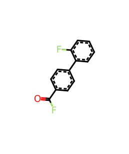 O=C(F)c1ccc(-c2ccccc2F)cc1